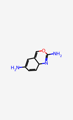 NC1=CC2=COC(N)=NC2C=C1